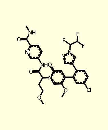 CNC(=O)c1ccc(NC(=O)C(CCOC)n2cc(OC)c(-c3cc(Cl)ccc3-c3cnn(C(F)C(F)F)c3)cc2=O)cn1